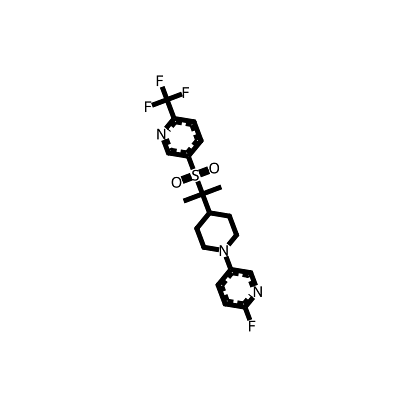 CC(C)(C1CCN(c2ccc(F)nc2)CC1)S(=O)(=O)c1ccc(C(F)(F)F)nc1